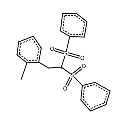 Cc1ccccc1C[C](S(=O)(=O)c1ccccc1)S(=O)(=O)c1ccccc1